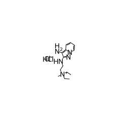 CC[N+](C)(CC)CCNc1nn2ccccc2c1N.Cl.[Cl-]